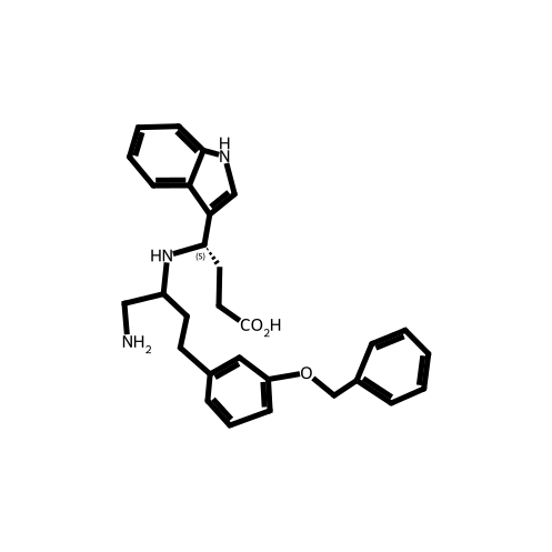 NCC(CCc1cccc(OCc2ccccc2)c1)N[C@@H](CCC(=O)O)c1c[nH]c2ccccc12